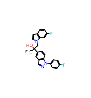 OC(Cn1ccc2ccc(F)cc21)(c1ccc2c(cnn2-c2ccc(F)cc2)c1)C(F)(F)F